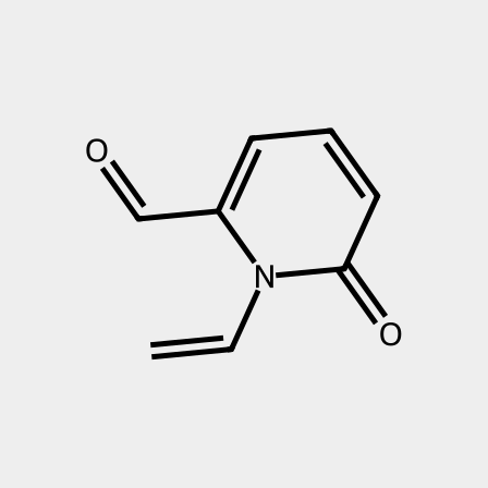 C=Cn1c(C=O)cccc1=O